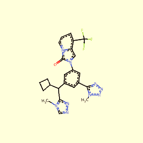 Cn1cnnc1C(c1cc(-c2nnnn2C)cc(-n2cc3c(C(F)(F)F)cccn3c2=O)c1)C1CCC1